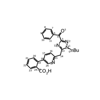 CCCCn1nc(C(=O)c2ccccc2)nc1Cc1ccc(-c2ccccc2C(=O)O)cn1